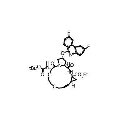 CCOC(=O)[C@@]12C[C@H]1C=CCCCCC[C@H](NC(=O)OC(C)(C)C)C(=O)N1C[C@H](Oc3nc4ccc(F)cc4c4cc(F)ccc34)C[C@H]1C(=O)N2